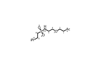 CC(=O)CCOCCNS(=O)(=O)CCC(C)C